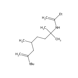 C=C(CC)NC(C)(C)CCC(C)CC(=C)C(C)(C)C